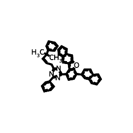 CC(C)(/C=C\Cc1nc(-c2ccccc2)nc(-c2ccc(-c3ccc4ccccc4c3)c3oc4cc5ccccc5cc4c23)n1)c1ccccc1